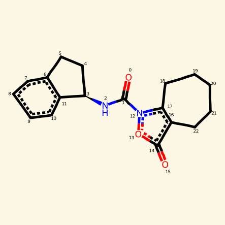 O=C(N[C@@H]1CCc2ccccc21)n1oc(=O)c2c1CCCCC2